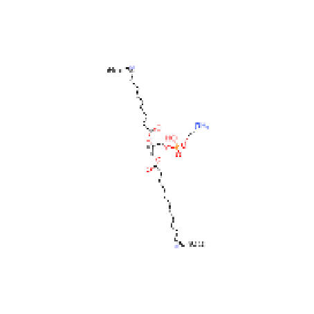 CCCCCC/C=C\CCCCCCCC(=O)O[C@H](COC(=O)CCCCCCCCC/C=C\CCCCCCCC)COP(=O)(O)OCCN